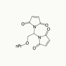 CCCOCC(N1C(=O)C=CC1=O)N1C(=O)C=CC1=O